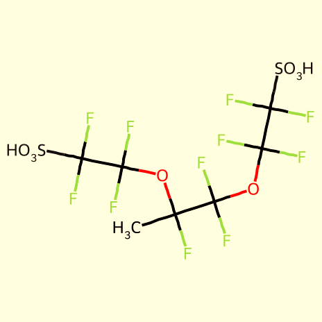 CC(F)(OC(F)(F)C(F)(F)S(=O)(=O)O)C(F)(F)OC(F)(F)C(F)(F)S(=O)(=O)O